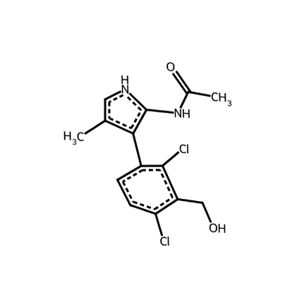 CC(=O)Nc1[nH]cc(C)c1-c1ccc(Cl)c(CO)c1Cl